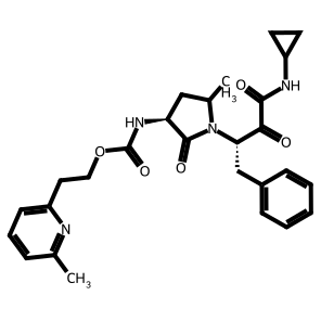 Cc1cccc(CCOC(=O)N[C@H]2CC(C)N([C@@H](Cc3ccccc3)C(=O)C(=O)NC3CC3)C2=O)n1